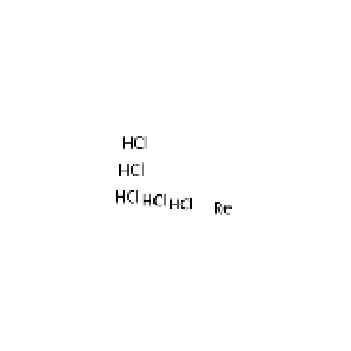 Cl.Cl.Cl.Cl.Cl.[Re]